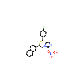 Clc1ccc(CSC(Cn2ccnc2)c2ccc3ccccc3c2)cc1.O=[N+]([O-])O